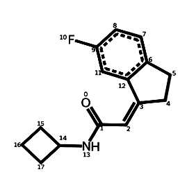 O=C(/C=C1/CCc2ccc(F)cc21)NC1CCC1